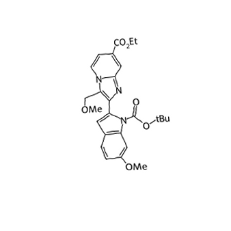 CCOC(=O)c1ccn2c(COC)c(-c3cc4ccc(OC)cc4n3C(=O)OC(C)(C)C)nc2c1